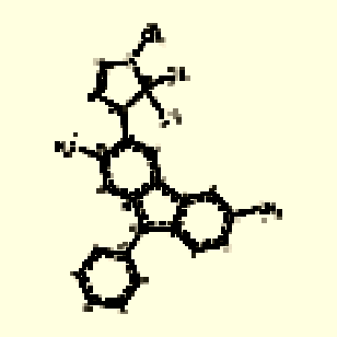 Cc1ccc2c(c1)c1cc(N3C=CN(C)C3(C)C)c(C)cc1n2-c1ccccc1